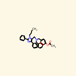 CCCCn1c(-c2ccccc2)nc(-c2ccccc2)c1CN(Cc1ccccc1)Cc1ccc(OC(C)=O)cc1